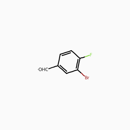 O=[C]c1ccc(F)c(Br)c1